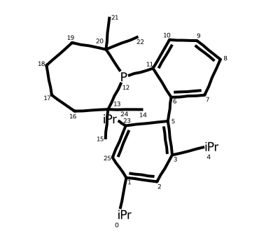 CC(C)c1cc(C(C)C)c(-c2ccccc2P2C(C)(C)CCCCC2(C)C)c(C(C)C)c1